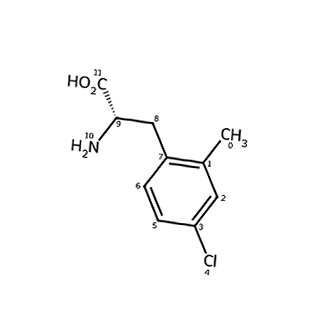 Cc1cc(Cl)ccc1C[C@H](N)C(=O)O